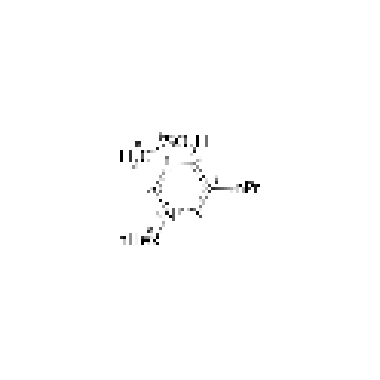 CCCCCC[n+]1cccc(CCC)c1.CS(=O)(=O)O